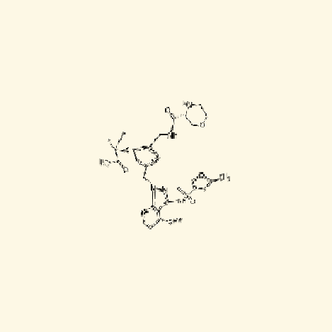 COc1cccc2c1c(NS(=O)(=O)c1ccc(C)s1)nn2Cc1ccc(CNC(=O)[C@H]2COCCN2)cc1.O=C(O)C(F)(F)F